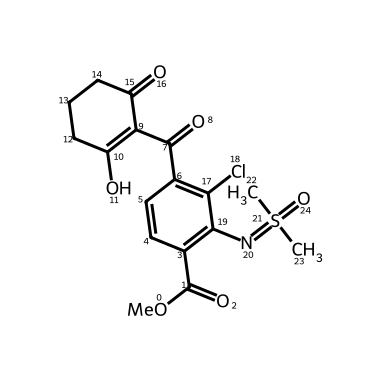 COC(=O)c1ccc(C(=O)C2=C(O)CCCC2=O)c(Cl)c1N=S(C)(C)=O